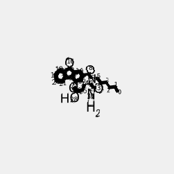 CCCCCCN(C(=O)c1ccc2c(c1)C(=O)c1ccccc1-2)[C@@H](CCC(=O)O)C(N)=O